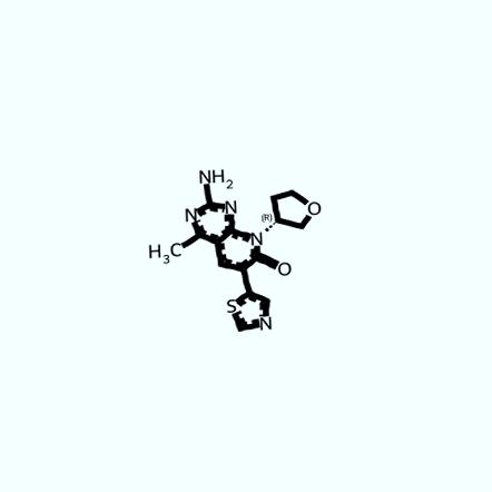 Cc1nc(N)nc2c1cc(-c1cncs1)c(=O)n2[C@@H]1CCOC1